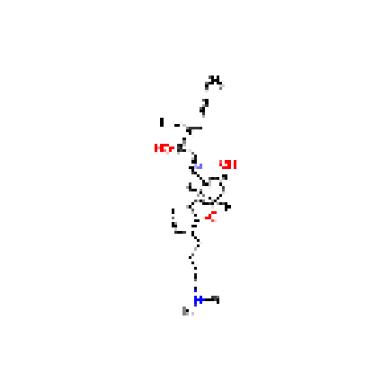 CC#CC[C@@H](C)[C@H](O)/C=C/[C@@H]1[C@H]2c3cccc(CCCCN(CC)CC)c3O[C@H]2C[C@H]1O